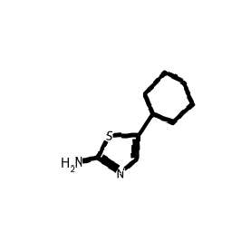 Nc1ncc(C2CCCCC2)s1